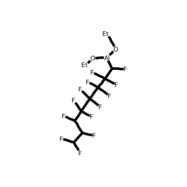 CC[O][Al]([O]CC)[CH](F)C(F)(F)C(F)(F)C(F)(F)C(F)(F)C(F)C(F)C(F)F